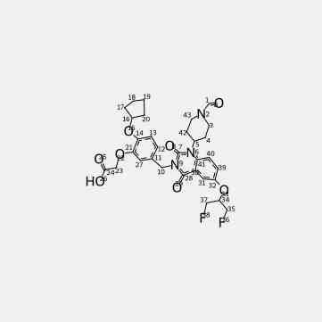 O=CN1CCC(n2c(=O)n(Cc3ccc(OC4CCCC4)c(OCC(=O)O)c3)c(=O)c3cc(OC(CF)CF)ccc32)CC1